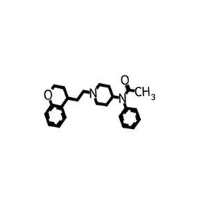 CC(=O)N(c1ccccc1)C1CCN(CCC2CCOc3ccccc32)CC1